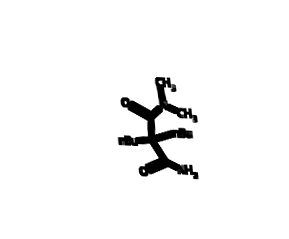 CCCCC(CCCC)(C(N)=O)C(=O)N(C)C